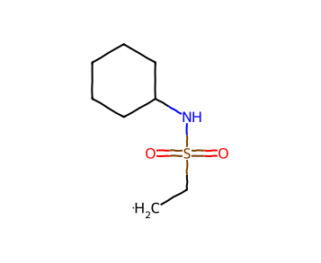 [CH2]CS(=O)(=O)NC1CCCCC1